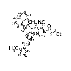 CC/C=C/C(=O)N1CCN(c2nc(OC[C@@H]3C[C@@H](F)CN3C)nc3c2CCN(c2cccc4cccc(C)c24)C3)C[C@@H]1CC#N